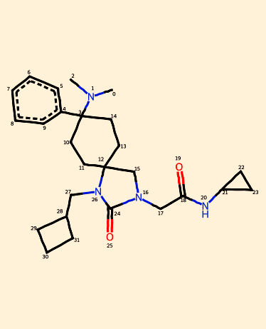 CN(C)C1(c2ccccc2)CCC2(CC1)CN(CC(=O)NC1CC1)C(=O)N2CC1CCC1